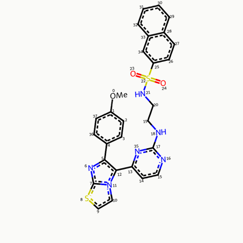 COc1ccc(-c2nc3sccn3c2-c2ccnc(NCCNS(=O)(=O)c3ccc4ccccc4c3)n2)cc1